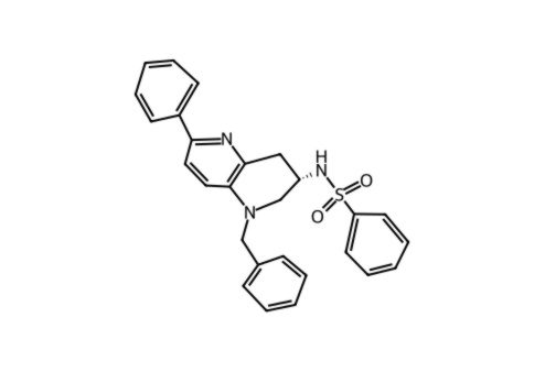 O=S(=O)(N[C@H]1Cc2nc(-c3ccccc3)ccc2N(Cc2ccccc2)C1)c1ccccc1